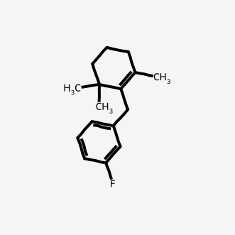 CC1=C(Cc2cccc(F)c2)C(C)(C)CCC1